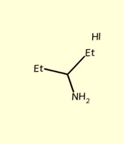 CCC(N)CC.I